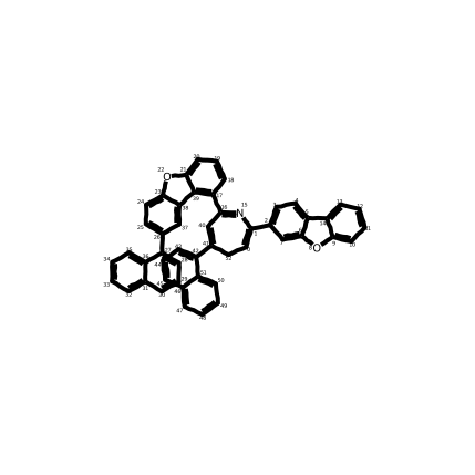 C1=C(c2ccc3c(c2)oc2ccccc23)N=C(c2cccc3oc4ccc(-c5cccc6ccccc56)cc4c23)C=C(c2cccc3ccccc23)C1